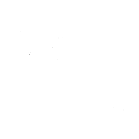 CCCCCCCOC(=O)C(Br)CC